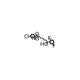 O=S(=O)(CCCCCC(O)c1cc(F)ccc1F)c1ccc(Cl)cn1